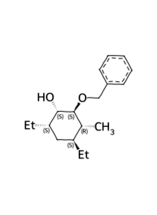 CC[C@H]1C[C@H](CC)[C@H](O)[C@@H](OCc2ccccc2)[C@@H]1C